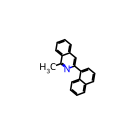 Cc1nc(-c2cccc3ccccc23)cc2ccccc12